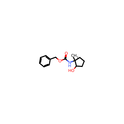 CC1(NC(=O)OCc2ccccc2)CCCC1O